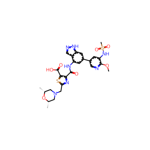 COc1ncc(-c2cc(NC(=O)c3nc(CN4C[C@@H](C)O[C@@H](C)C4)sc3C(=O)O)c3cn[nH]c3c2)cc1NS(C)(=O)=O